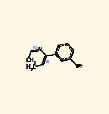 C/C=N\C(=C/C)c1cccc(C(C)C)c1